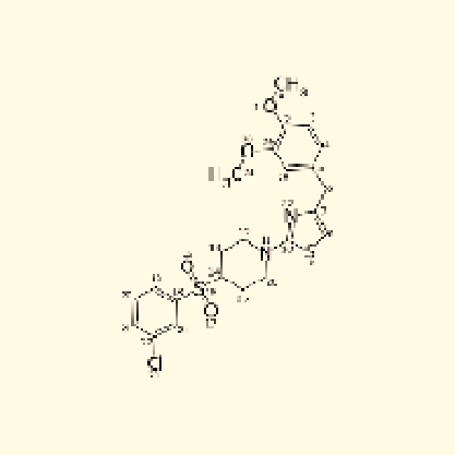 COc1ccc(Cc2csc(N3CCC(S(=O)(=O)c4cccc(Cl)c4)CC3)n2)cc1OC